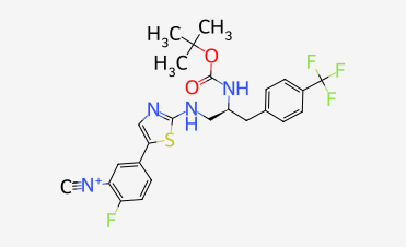 [C-]#[N+]c1cc(-c2cnc(NC[C@H](Cc3ccc(C(F)(F)F)cc3)NC(=O)OC(C)(C)C)s2)ccc1F